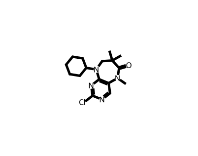 CN1C(=O)C(C)(C)CN(C2CCCCC2)c2nc(Cl)ncc21